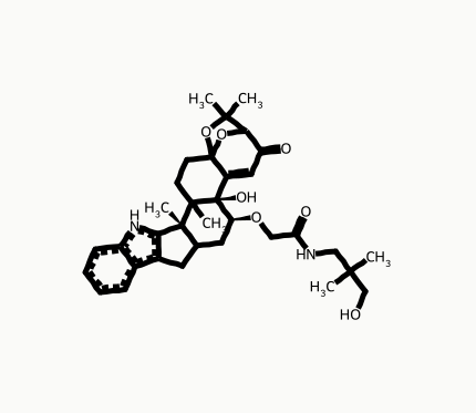 CC(C)(CO)CNC(=O)CO[C@H]1CC2Cc3c([nH]c4ccccc34)[C@]2(C)C2(C)CCC34OC(C(=O)C=C3[C@]12O)C(C)(C)O4